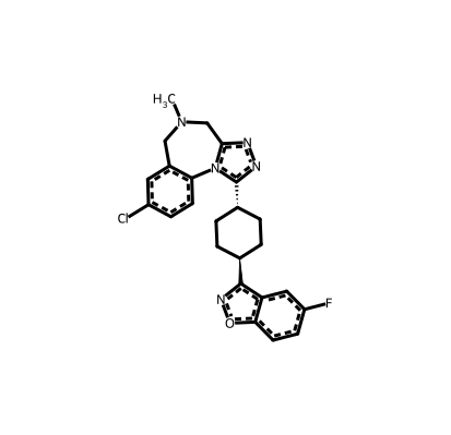 CN1Cc2cc(Cl)ccc2-n2c(nnc2[C@H]2CC[C@H](c3noc4ccc(F)cc43)CC2)C1